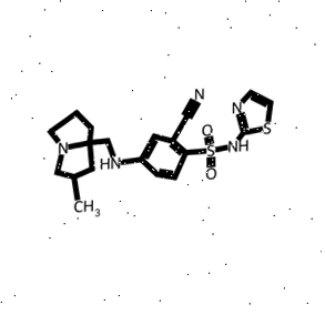 CC1CN2CCCC2(CNc2ccc(S(=O)(=O)Nc3nccs3)c(C#N)c2)C1